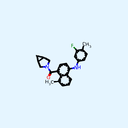 Cc1ccc(Nc2ccc(C(=O)N3CC4CC4C3)c3c(C)cccc23)cc1F